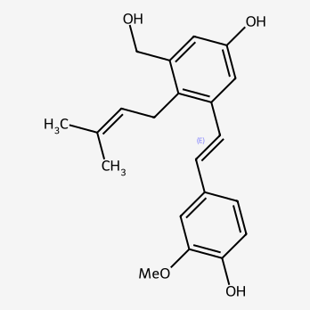 COc1cc(/C=C/c2cc(O)cc(CO)c2CC=C(C)C)ccc1O